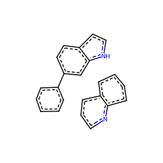 c1ccc(-c2ccc3cc[nH]c3c2)cc1.c1ccc2ncccc2c1